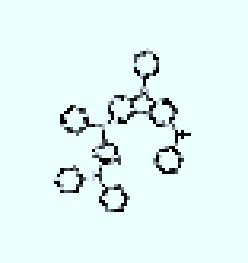 c1ccc(Nc2ccc3c(c2)c2cc(N(c4ccccc4)c4cnc(N(c5ccccc5)c5ccccc5)s4)ccc2n3-c2ccccc2)cc1